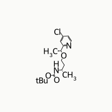 C[C@H](OCC[C@H](C)NC(=O)OC(C)(C)C)c1cc(Cl)ccn1